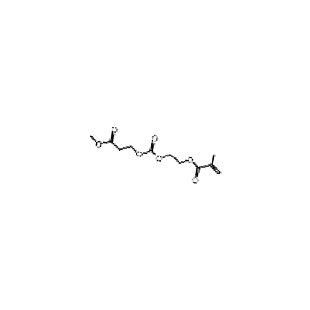 C=C(C)C(=O)OCCOC(=O)OCCC(=O)OC